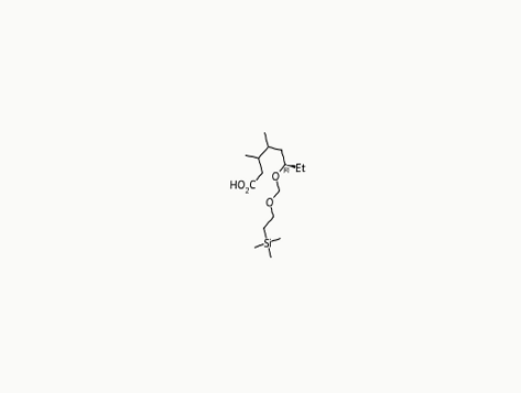 CC[C@H](CC(C)C(C)CC(=O)O)OCOCC[Si](C)(C)C